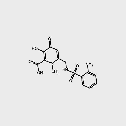 Cc1ccccc1S(=O)(=O)NCc1cc(=O)c(O)c(C(=O)O)n1C